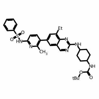 CCc1cc(-c2ccc(NS(=O)(=O)c3ccccc3)nc2C)cc2cnc(NC3CCC(NC(=O)OC(C)(C)C)CC3)nc12